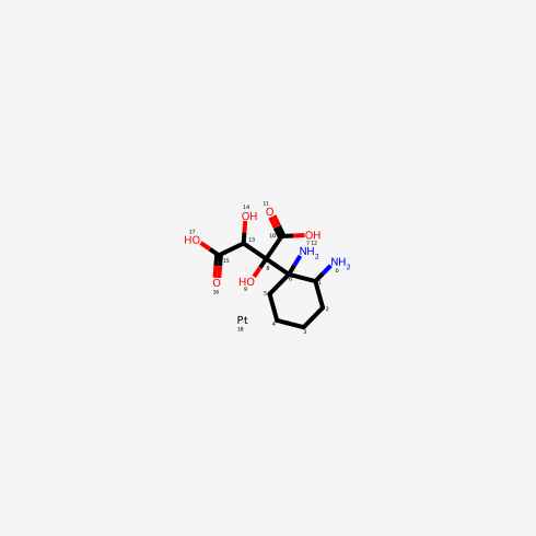 NC1CCCCC1(N)C(O)(C(=O)O)C(O)C(=O)O.[Pt]